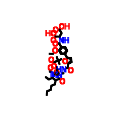 CCCCCC(C(=O)NCNC(=O)c1ccc(-c2ccc(C(=O)NC(CC(=O)O)C(=O)O)c(OCC)c2)o1)C(CC)N(C=O)OCOC(=O)C(C)(C)C